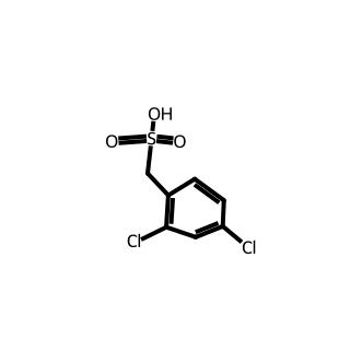 O=S(=O)(O)Cc1ccc(Cl)cc1Cl